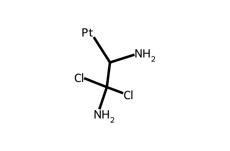 N[CH]([Pt])C(N)(Cl)Cl